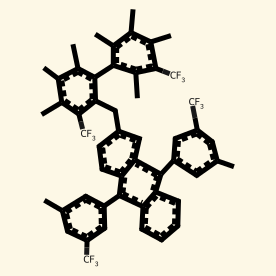 Cc1cc(-c2c3ccccc3c(-c3cc(C)cc(C(F)(F)F)c3)c3cc(Cc4c(-c5c(C)c(C)c(C)c(C(F)(F)F)c5C)c(C)c(C)c(C)c4C(F)(F)F)ccc23)cc(C(F)(F)F)c1